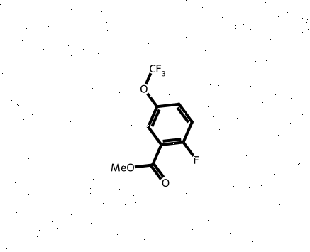 COC(=O)c1cc(OC(F)(F)F)ccc1F